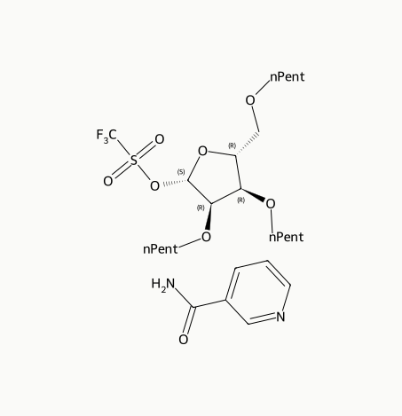 CCCCCOC[C@H]1O[C@@H](OS(=O)(=O)C(F)(F)F)[C@H](OCCCCC)[C@@H]1OCCCCC.NC(=O)c1cccnc1